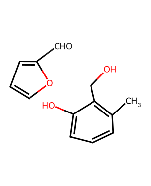 Cc1cccc(O)c1CO.O=Cc1ccco1